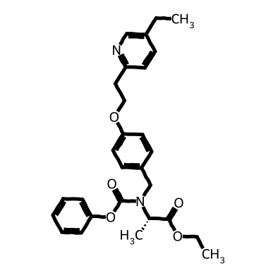 CCOC(=O)[C@H](C)N(Cc1ccc(OCCc2ccc(CC)cn2)cc1)C(=O)Oc1ccccc1